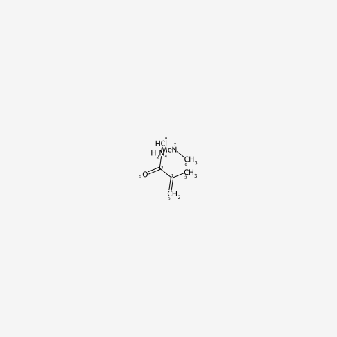 C=C(C)C(N)=O.CNC.Cl